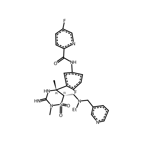 CCN(Cc1cccnc1)C[C@H]1[C@@](C)(c2cc(NC(=O)c3ccc(F)cn3)ccc2F)NC(=N)N(C)S1(=O)=O